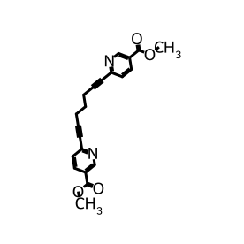 COC(=O)c1ccc(C#CCCCC#Cc2ccc(C(=O)OC)cn2)nc1